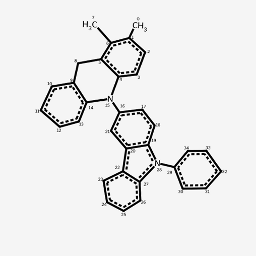 Cc1ccc2c(c1C)Cc1ccccc1N2c1ccc2c(c1)c1ccccc1n2-c1ccccc1